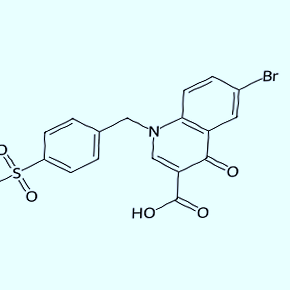 CS(=O)(=O)c1ccc(Cn2cc(C(=O)O)c(=O)c3cc(Br)ccc32)cc1